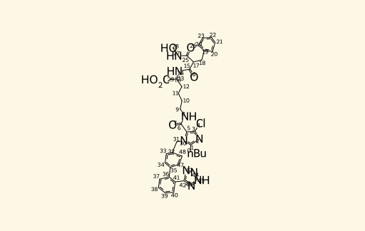 CCCCc1nc(Cl)c(C(=O)NCCCC[C@H](NC(=O)C(Cc2ccccc2)C(=O)NO)C(=O)O)n1Cc1ccc(-c2ccccc2-c2nn[nH]n2)cc1